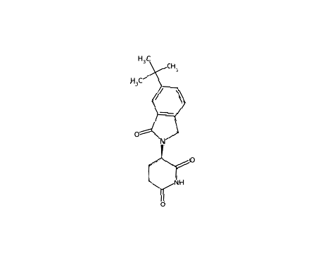 CC(C)(C)c1ccc2c(c1)C(=O)N([C@@H]1CCC(=O)NC1=O)C2